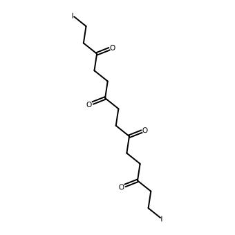 O=C(CCI)CCC(=O)CCC(=O)CCC(=O)CCI